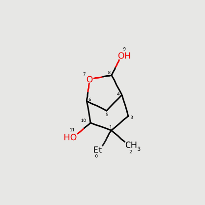 CCC1(C)CC2CC(OC2O)C1O